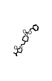 C=C(C)C1CCN(CCC2CCN(C(=O)OCc3ccccc3)CC2)C1=O